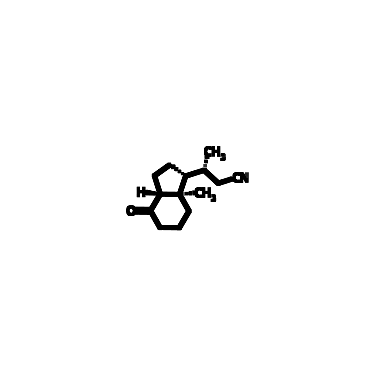 C[C@H](CC#N)[C@H]1CC[C@H]2C(=O)CCC[C@]12C